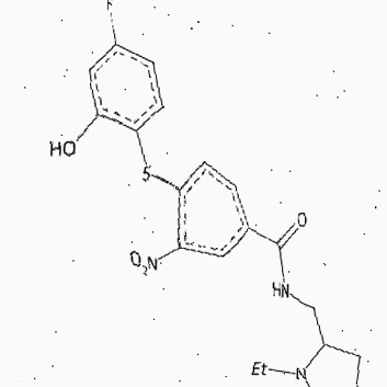 CCN1CCCC1CNC(=O)c1ccc(Sc2ccc(F)cc2O)c([N+](=O)[O-])c1